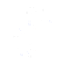 Cc1ncc(NC(=O)c2cc(C#N)cc(C(C)(C)C)c2)cc1-c1ccc(C(=O)N(C)c2ccccn2)cc1